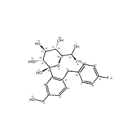 C[C@H](O)[C@H]1O[C@](O)(c2cc(CO)ccc2Cc2ccc(F)cc2)[C@H](O)[C@@H](O)[C@@H]1O